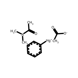 CC(=O)N(C)C.CC(=O)[O-].[Hg+][c]1ccccc1